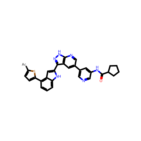 CC(=O)c1ccc(-c2cccc3[nH]c(-c4n[nH]c5ncc(-c6cncc(NC(=O)C7CCCC7)c6)cc45)cc23)s1